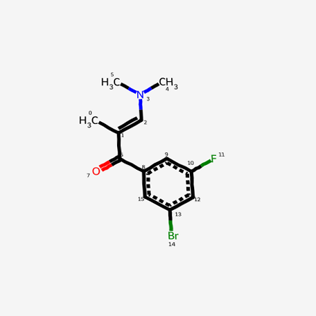 CC(=CN(C)C)C(=O)c1cc(F)cc(Br)c1